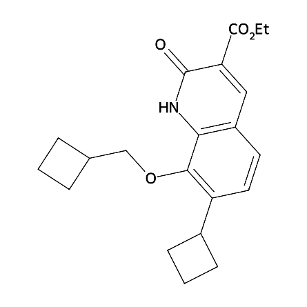 CCOC(=O)c1cc2ccc(C3CCC3)c(OCC3CCC3)c2[nH]c1=O